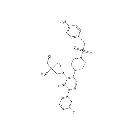 CC(C)(CCl)COc1c(N2CCN(S(=O)(=O)Cc3ccc(N)cc3)CC2)cnn(-c2cccc(Cl)c2)c1=O